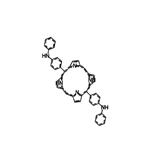 C1=Cc2nc1cc1ccc([nH]1)c(-c1ccc(Nc3ccccc3)cc1)c1nc(cc3ccc([nH]3)c2-c2ccc(Nc3ccccc3)cc2)C=C1